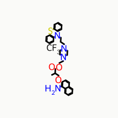 CC(COc1ccc2ccccc2c1N)C(=O)OCCN1CCN(CCCN2c3ccccc3Sc3ccc(C(F)(F)F)cc32)CC1